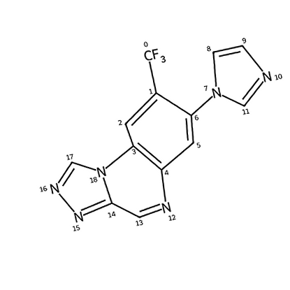 FC(F)(F)c1cc2c(cc1-n1ccnc1)ncc1nncn12